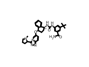 CN1CCCC1c1nnc2ccc(O[C@@H]3CC[C@H](NC(=O)Nc4cc(C(N)=O)cc(C(C)(C)C)c4)c4ccccc43)cn12